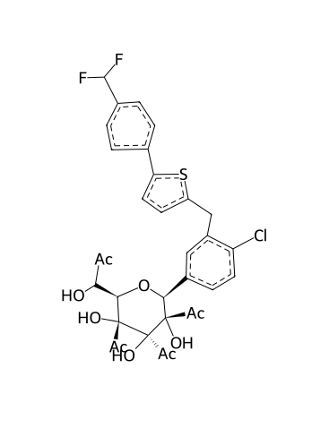 CC(=O)C(O)[C@H]1O[C@@H](c2ccc(Cl)c(Cc3ccc(-c4ccc(C(F)F)cc4)s3)c2)[C@@](O)(C(C)=O)[C@](O)(C(C)=O)[C@@]1(O)C(C)=O